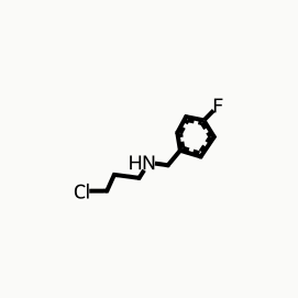 Fc1ccc(CNCCCCl)cc1